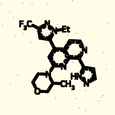 CCn1nc(C(F)(F)F)cc1-c1cc(N2CCOCC2C)nc2c(-c3ccn[nH]3)nccc12